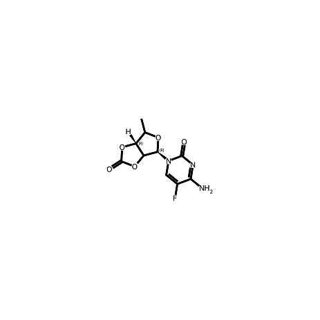 CC1O[C@@H](n2cc(F)c(N)nc2=O)C2OC(=O)O[C@H]12